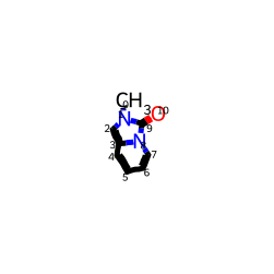 Cn1cc2ccccn2c1=O